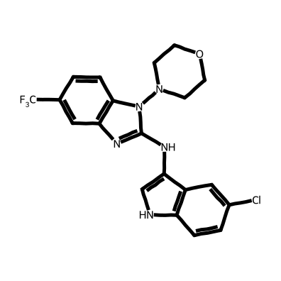 FC(F)(F)c1ccc2c(c1)nc(Nc1c[nH]c3ccc(Cl)cc13)n2N1CCOCC1